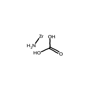 O=C(O)O.[NH2][Zr]